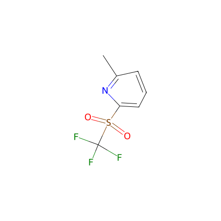 Cc1cccc(S(=O)(=O)C(F)(F)F)n1